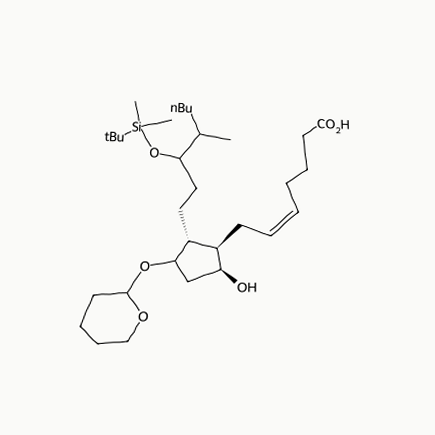 CCCCC(C)C(CC[C@H]1C(OC2CCCCO2)C[C@H](O)[C@@H]1C/C=C\CCCC(=O)O)O[Si](C)(C)C(C)(C)C